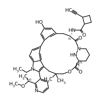 C#CC1CCC1C(=O)N[C@H]1Cc2cc(O)cc(c2)-c2ccc3c(c2)c(c(-c2cccnc2[C@H](C)OC)n3CC)CC(C)(C)COC(=O)[C@@H]2CCCN(N2)C1=O